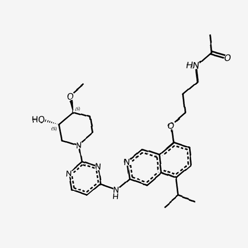 CO[C@H]1CCN(c2nccc(Nc3cc4c(C(C)C)ccc(OCCCNC(C)=O)c4cn3)n2)C[C@@H]1O